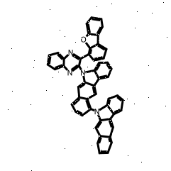 c1ccc2cc3c(cc2c1)c1ccccc1n3-c1cccc2cc3c(cc12)c1ccccc1n3-c1nc2ccccc2nc1-c1cccc2c1oc1ccccc12